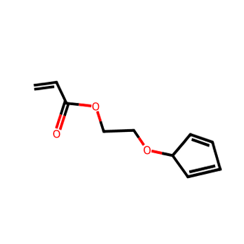 C=CC(=O)OCCOC1C=CC=C1